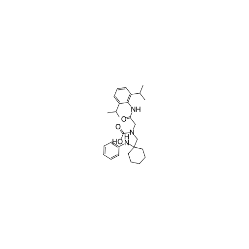 CC(C)c1cccc(C(C)C)c1NC(=O)CN(CC1(Nc2ccccc2)CCCCC1)C(=O)O